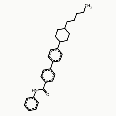 CCCCCC1CCC(c2ccc(-c3ccc(C(=O)Nc4cc[c]cc4)cc3)cc2)CC1